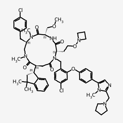 COC[C@@H]1NC(=O)[C@H](CCON2CCC2)N(Cc2ccc(Cl)cc2Oc2ccc(-c3cnc(CN4CCCC4)n3C)cc2)C(=O)C[C@@H]([C@H]2CC(C)(C)c3ccccc32)C(=O)N(C)C[C@@H](Cc2ccc(Cl)cc2)N(C)C1=O